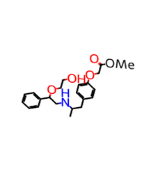 COC(=O)COc1ccc(CC(C)NCC(OCCO)c2ccccc2)cc1